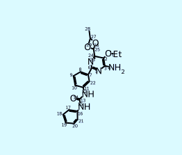 CCOc1c(N)nc(-c2cccc(NC(=O)Nc3ccccc3)c2)nc1C1OC(C)O1